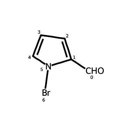 O=Cc1cccn1Br